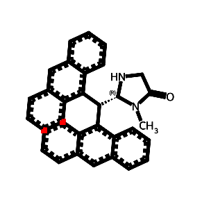 CN1C(=O)CN[C@H]1C(c1c2ccccc2cc2ccccc12)c1c2ccccc2cc2ccccc12